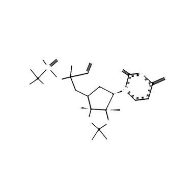 C=CC(C)(CC1C[C@@H](n2ccc(=O)[nH]c2=O)[C@@H]2OC(C)(C)O[C@H]12)OP(=O)(O)C(C)(C)O